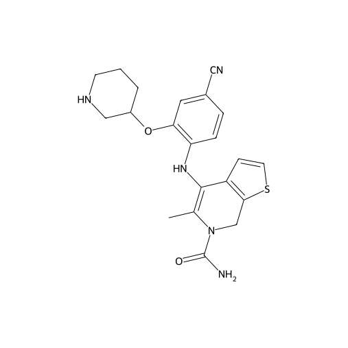 CC1=C(Nc2ccc(C#N)cc2OC2CCCNC2)c2ccsc2CN1C(N)=O